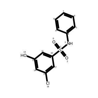 O=S(=O)(Nc1ccccc1)c1cc(O)cc(Cl)c1